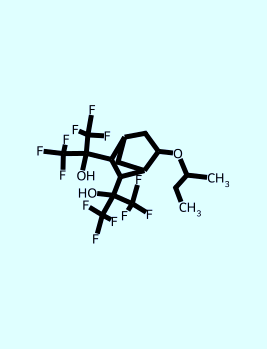 CCC(C)OC1CC2CC1C(C(O)(C(F)(F)F)C(F)(F)F)C2C(O)(C(F)(F)F)C(F)(F)F